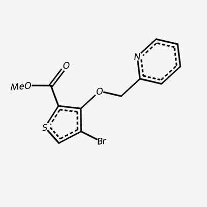 COC(=O)c1scc(Br)c1OCc1ccccn1